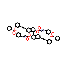 O=C(/C=C/c1ccc(OC(=O)c2ccccc2)cc1)Oc1ccc2cc(C#Cc3ccccc3)ccc2c1-c1c(OC(=O)/C=C/c2ccc(OC(=O)c3ccccc3)cc2)ccc2cc(C#Cc3ccccc3)ccc12